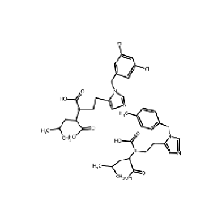 CC(C)CC(C(=O)O)N(CCc1cncn1Cc1cc(Cl)cc(Cl)c1)C(=O)O.Cc1ccc(Cn2cncc2CCN(C(=O)O)C(CC(C)C)C(=O)O)cc1